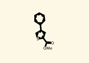 COC(=O)c1cc(-c2ccccc2)cs1